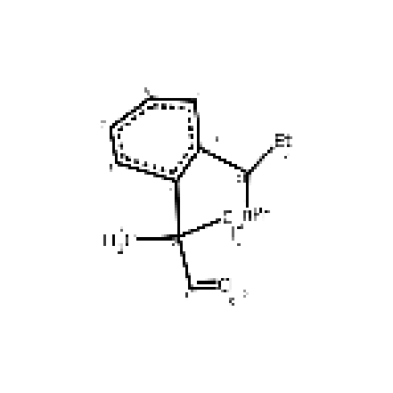 C=CC(C)(C)c1ccccc1C(CC)CCC